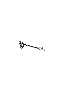 CCCCCCCCCCCCCCCCCCOC1COC(=O)CCCC(=O)OC1